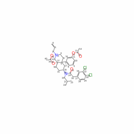 C=CCN1CCC2(c3cccc(OC(C)=O)c3)CC(N(CC(C)C)C(=O)Cc3ccc(Cl)c(Cl)c3)CCC2(OC(C)=O)C1